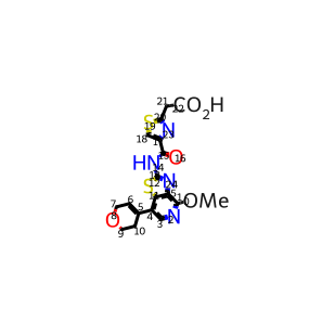 COc1ncc(C2=CCOCC2)c2sc(NC(=O)c3csc(CC(=O)O)n3)nc12